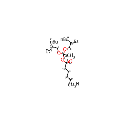 CCCCC(CC)COC(C)(OCC(CC)CCCC)OC(=O)CCCCC(=O)O